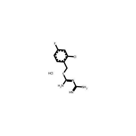 Cl.N=C(N)N=C(N)SCc1ccc(F)cc1Cl